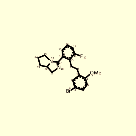 COc1ccc(Br)cc1CCc1c(F)cccc1C1=NCC2CCCN12